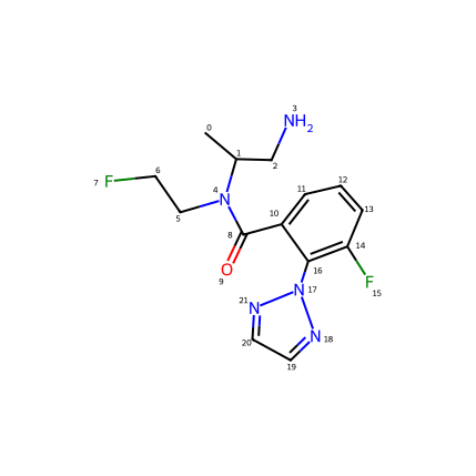 CC(CN)N(CCF)C(=O)c1cccc(F)c1-n1nccn1